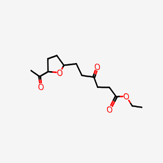 CCOC(=O)CCC(=O)CCC1CCC(C(C)=O)O1